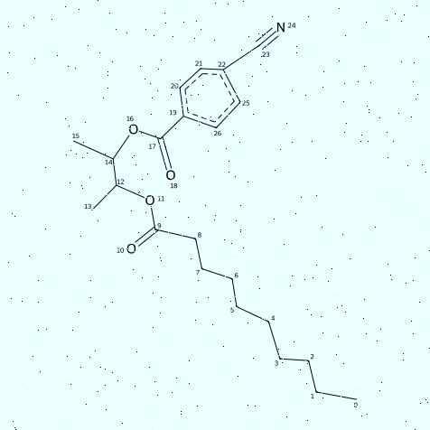 CCCCCCCCCC(=O)OC(C)C(C)OC(=O)c1ccc(C#N)cc1